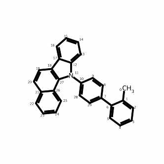 Cc1ccccc1-c1ccc(-n2c3ccccc3c3ccc4ccccc4c32)cc1